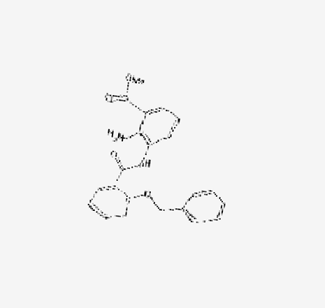 COC(=O)c1cccc(NC(=O)c2ccccc2OCc2ccccc2)c1N